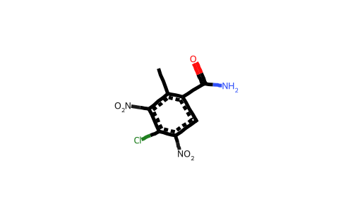 Cc1c(C(N)=O)cc([N+](=O)[O-])c(Cl)c1[N+](=O)[O-]